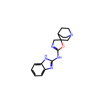 c1ccc2[nH]c(NC3=NCC4(CN5CCC4CC5)O3)nc2c1